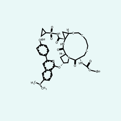 COc1ccc(-c2cc3cc(N(C)C)ccc3c(O[C@@H]3C[C@H]4C(=O)N[C@]5(C(=O)NS(=O)(=O)C6CC6)C[C@H]5CCCCCCC[C@H](NC(=O)OC(C)(C)C)C(=O)N4C3)n2)cc1